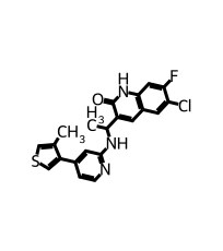 Cc1cscc1-c1ccnc(NC(C)c2cc3cc(Cl)c(F)cc3[nH]c2=O)c1